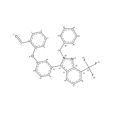 O=Cc1ccccc1Oc1cccc(-c2c3cccc(C(F)(F)F)c3nn2Cc2ccccc2)c1